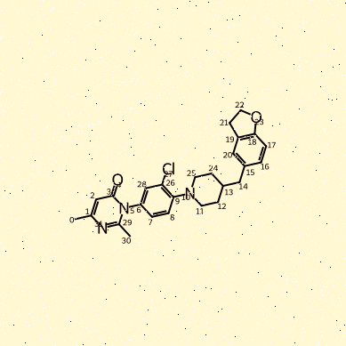 Cc1cc(=O)n(-c2ccc(N3CCC(Cc4ccc5c(c4)CCO5)CC3)c(Cl)c2)c(C)n1